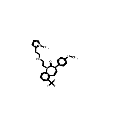 COc1ccc(C2C=Cc3c(cccc3C(F)(F)F)N(CCNCCc3cccn3C)C2=O)cc1